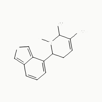 COC1=CCC(c2cccc3cocc23)N(C)C1OC